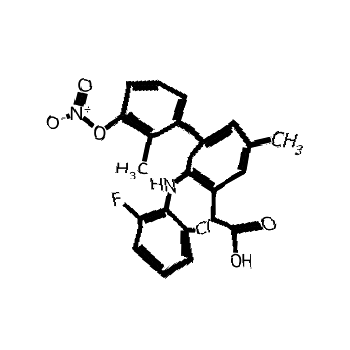 Cc1cc(CC(=O)O)c(Nc2c(F)cccc2Cl)c(-c2cccc(O[N+](=O)[O-])c2C)c1